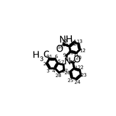 Cc1ccc2c(c1)[C@H](N(Cc1ccccc1C(N)=O)C(=O)c1ccccc1)CC2